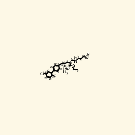 CCOC(=O)[C@H](CNCCCOC)C[C@H](N)Cc1ccc(-c2cc(Cl)ccc2F)cc1